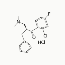 CN(C)C[C@H](Cc1ccccc1)C(=O)c1ccc(F)cc1Cl.Cl